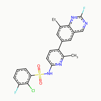 CCc1cc(-c2ccc(NS(=O)(=O)c3cccc(F)c3Cl)nc2C)cc2cnc(F)nc12